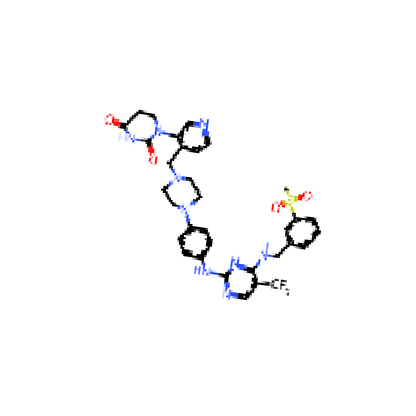 CS(=O)(=O)c1cccc(CNc2nc(Nc3ccc(N4CCN(Cc5ccncc5N5CCC(=O)NC5=O)CC4)cc3)ncc2C(F)(F)F)c1